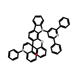 c1ccc(-c2cc(-n3c4ccccc4c4ccc5c(c43)Oc3ccccc3C53c4ccccc4N(c4ccccc4)c4ccccc43)cc(-c3ccccc3)n2)cc1